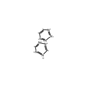 c1cnnnn1.c1nncnn1